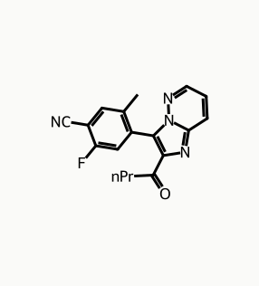 CCCC(=O)c1nc2cccnn2c1-c1cc(F)c(C#N)cc1C